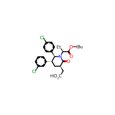 CC[C@@H](C(=O)OC(C)(C)C)N1C(=O)[C@@H](CC(=O)O)C[C@H](c2cccc(Cl)c2)[C@H]1c1ccc(Cl)cc1